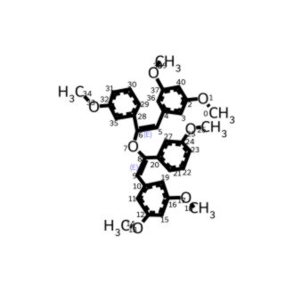 COc1cc(/C=C(/O/C(=C/c2cc(OC)cc(OC)c2)c2cccc(OC)c2)c2cccc(OC)c2)cc(OC)c1